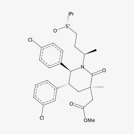 COC(=O)C[C@@]1(C)C[C@H](c2cccc(Cl)c2)[C@@H](c2ccc(Cl)cc2)N([C@H](C)CC[S@+]([O-])C(C)C)C1=O